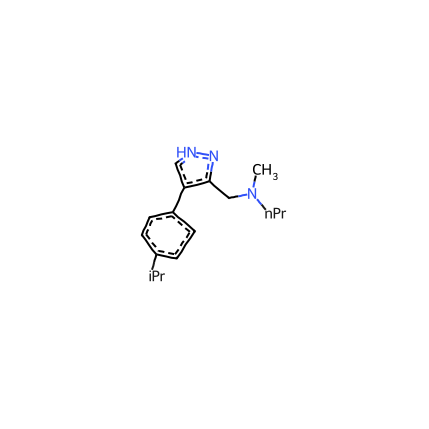 CCCN(C)Cc1n[nH]cc1-c1ccc(C(C)C)cc1